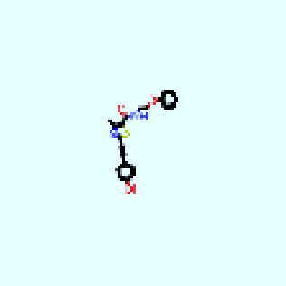 Cc1nc(C#Cc2ccc(O)cc2)sc1C(=O)NCCOc1ccccc1